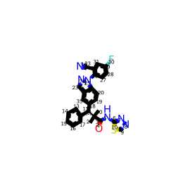 CC(C)(C(=O)Nc1nncs1)[C@@H](c1ccccc1)c1ccc2c(cnn2-c2ccc(F)cc2C#N)c1